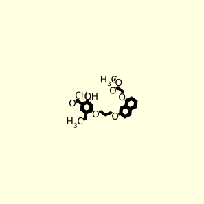 CCc1cc(C(C)=O)c(O)cc1OCCCOc1ccc2cccc(OCC(=O)OC)c2c1